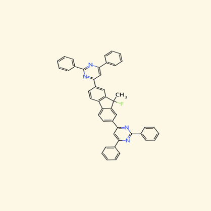 CC1(F)c2cc(-c3cc(-c4ccccc4)nc(-c4ccccc4)n3)ccc2-c2ccc(-c3cc(-c4ccccc4)nc(-c4ccccc4)n3)cc21